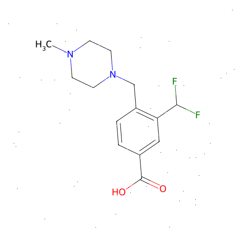 CN1CCN(Cc2ccc(C(=O)O)cc2C(F)F)CC1